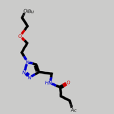 CC(=O)CCC(=O)NCc1cn(CCOCCOCC(C)C)nn1